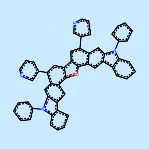 c1ccc(-n2c3ccccc3c3cc4c(cc32)c(-c2cccnc2)cc2c3cc(-c5cccnc5)c5cc6c(cc5c3oc42)c2ccccc2n6-c2ccccc2)cc1